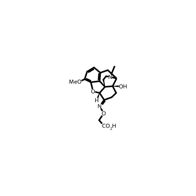 COc1ccc2c3c1O[C@H]1/C(=N/OCC(=O)O)CC[C@@]4(O)C(C2)N(C)CC[C@]314